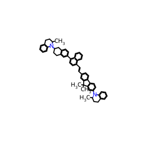 CC1CCc2ccccc2N1c1ccc2c(c1)C(C)(C)c1cc(/C=C/c3ccc(-c4ccc5c(c4)CCC(N4c6ccccc6CCC4C)C5)c4ccccc34)ccc1-2